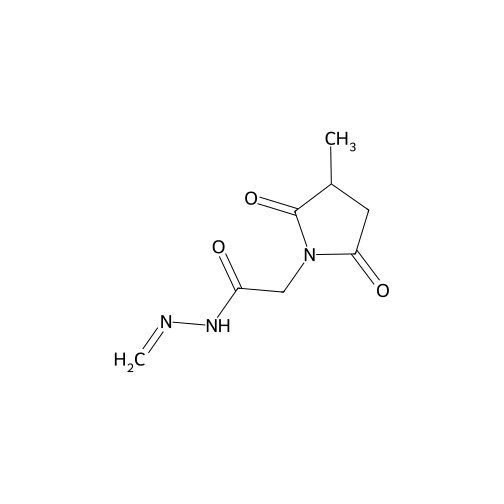 C=NNC(=O)CN1C(=O)CC(C)C1=O